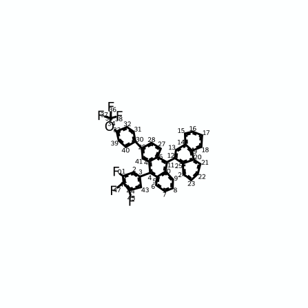 Fc1cc(-c2c3ccccc3c(-c3cc4ccccc4c4ccccc34)c3ccc(-c4ccc(OC(F)(F)F)cc4)cc23)cc(F)c1F